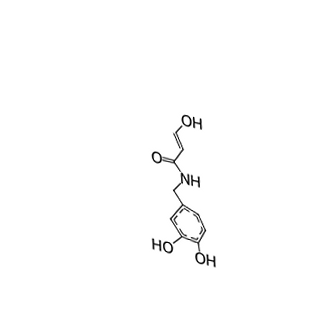 O=C(C=CO)NCc1ccc(O)c(O)c1